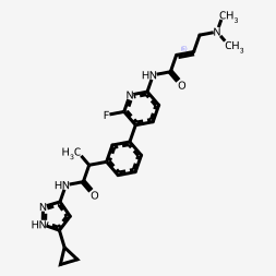 CC(C(=O)Nc1cc(C2CC2)[nH]n1)c1cccc(-c2ccc(NC(=O)/C=C/CN(C)C)nc2F)c1